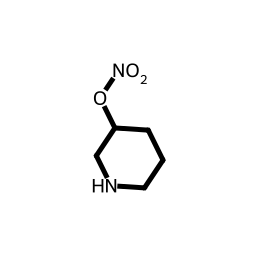 O=[N+]([O-])OC1CCCNC1